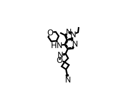 CCn1nc(C)c2c(NC3CCOCC3)c(C3=NOC4(C3)CC(C#N)C4)cnc21